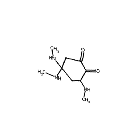 CNC1CC(NC)(NC)CC(=O)C1=O